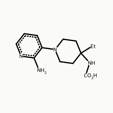 CCC1(NC(=O)O)CCN(c2cccnc2N)CC1